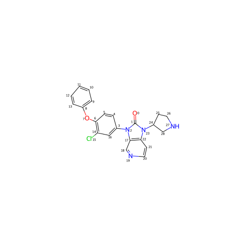 O=c1n(-c2ccc(Oc3ccccc3)c(Cl)c2)c2cnccc2n1C1CCNC1